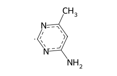 Cc1cc(N)n[c]n1